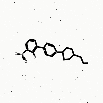 CCCC1CCC(c2ccc(-c3cccc([N+](=O)[O-])c3F)cc2)CC1